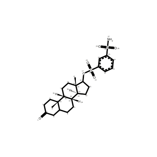 C[C@]12CCC(=O)CC1CC[C@@H]1[C@H]2CC[C@]2(C)C(OS(=O)(=O)c3cccc(S(N)(=O)=O)c3)CC[C@@H]12